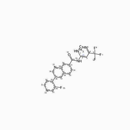 CN/C(=C\C(=N)C(F)(F)F)NC(=O)c1ccc2cc(-c3ccncc3F)cnc2c1